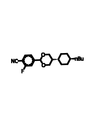 CCCC[C@H]1CC[C@H](C2COC(c3ccc(C#N)c(F)c3)OC2)CC1